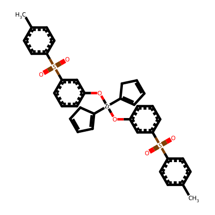 Cc1ccc(S(=O)(=O)c2cccc([O][Zr]([O]c3cccc(S(=O)(=O)c4ccc(C)cc4)c3)([C]3=CC=CC3)[C]3=CC=CC3)c2)cc1